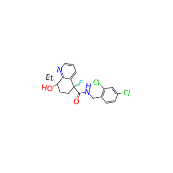 CC[C@@]1(O)CC[C@@](F)(C(=O)NCc2ccc(Cl)cc2Cl)c2cccnc21